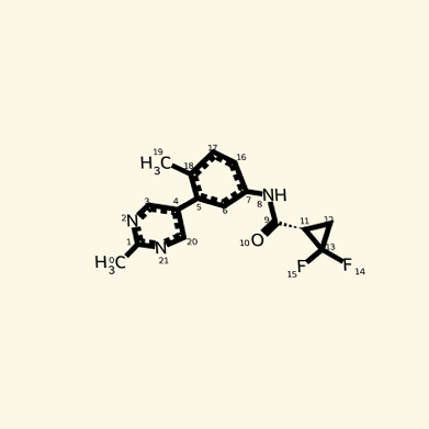 Cc1ncc(-c2cc(NC(=O)[C@@H]3CC3(F)F)ccc2C)cn1